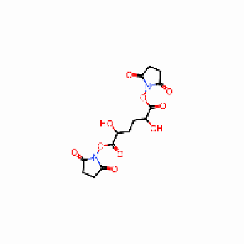 O=C(ON1C(=O)CCC1=O)C(O)CCC(O)C(=O)ON1C(=O)CCC1=O